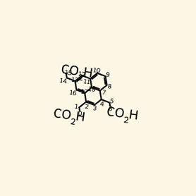 O=C(O)CC1=CC(CC(=O)O)c2cccc3cc(CC(=O)O)cc1c23